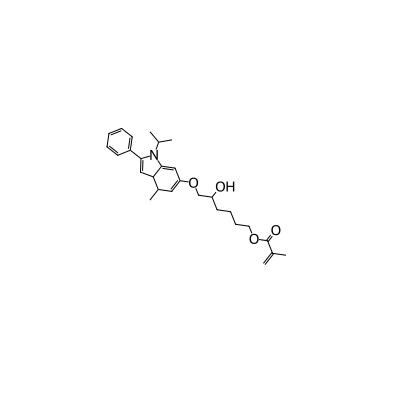 C=C(C)C(=O)OCCCCC(O)COC1=CC(C)C2C=C(c3ccccc3)N(C(C)C)C2=C1